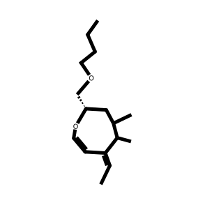 CC=C1/C=C\O[C@H](COCCCC)CC(C)C1C